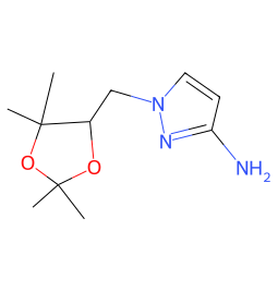 CC1(C)OC(Cn2ccc(N)n2)C(C)(C)O1